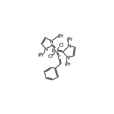 CC(C)n1ccn(C(C)C)[c]1=[Ru]([Cl])([Cl])(=[C]=Cc1ccccc1)=[c]1n(C(C)C)ccn1C(C)C